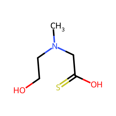 CN(CCO)CC(O)=S